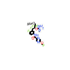 C/N=C(/N)O[C@@H]([C@H](F)c1cc(NC(=O)c2cnc(OCF)cn2)ccc1F)C(F)(F)COC